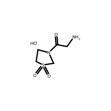 Cl.NCC(=O)N1CCS(=O)(=O)C1